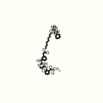 CNC(=O)c1ccccc1Nc1nc(Nc2cccc(CC(=O)OCCCCCCCCCOc3nonc3S(=O)(=O)c3ccccc3)c2)ncc1Cl